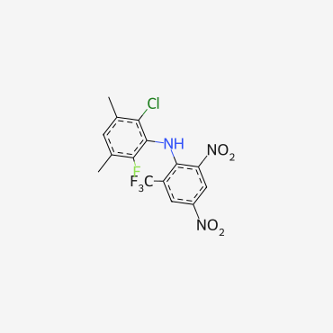 Cc1cc(C)c(Cl)c(Nc2c([N+](=O)[O-])cc([N+](=O)[O-])cc2C(F)(F)F)c1F